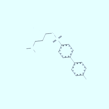 C[S+]([O-])CC[C@@H](NS(=O)(=O)c1ccc(-c2ccc(Cl)cc2)cc1)C(=O)O